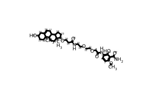 COc1ccc(NC(=O)COCCOCCNC(=O)CCO[C@@H]2CCC3C4CC=C5C[C@H](O)CC[C@@]5(C)C4CC[C@]32C)c(O)c1C(N)=O